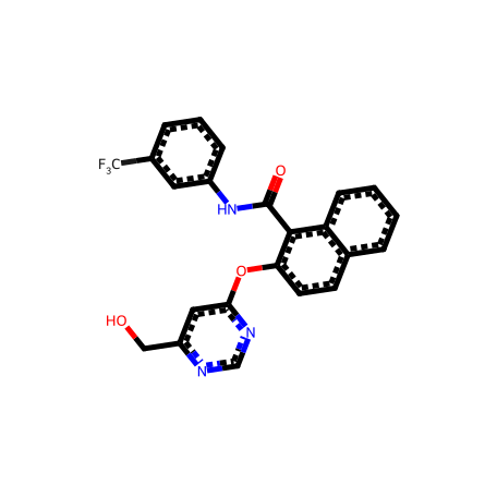 O=C(Nc1cccc(C(F)(F)F)c1)c1c(Oc2cc(CO)ncn2)ccc2ccccc12